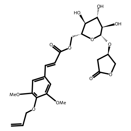 C=CCOc1c(OC)cc(/C=C/C(=O)OC[C@H]2O[C@@H](O[C@H]3COC(=O)C3)[C@H](O)[C@@H](O)[C@@H]2O)cc1OC